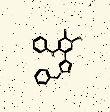 Cn1cc(-c2cnn(Cc3ccccc3)c2)c(Nc2ccccc2)cc1=O